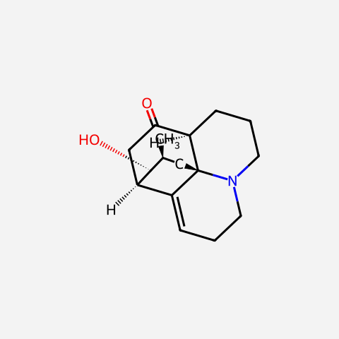 C[C@H]1C[C@]23C4=CCCN2CCC[C@@H]3C(=O)C[C@H]4[C@H]1O